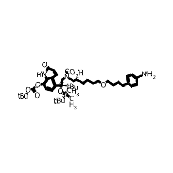 CC(C)(C)OC(=O)Oc1ccc([C@](CN(CCCCCCOCCCCc2ccc(N)cc2)C(=O)O)(O[Si](C)(C)C(C)(C)C)C(C)(C)C)c2ccc(=O)[nH]c12